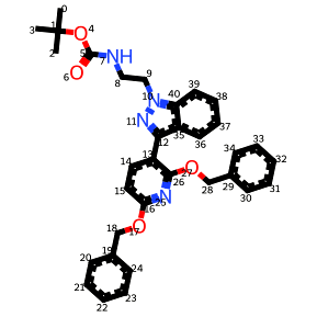 CC(C)(C)OC(=O)NCCn1nc(-c2ccc(OCc3ccccc3)nc2OCc2ccccc2)c2ccccc21